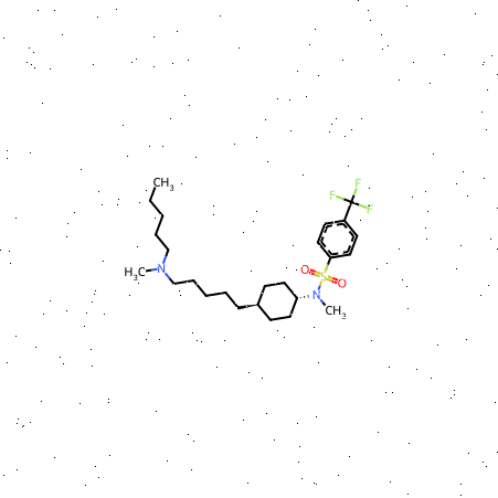 CCCCCN(C)CCCCC[C@H]1CC[C@H](N(C)S(=O)(=O)c2ccc(C(F)(F)F)cc2)CC1